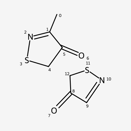 CC1=NSCC1=O.O=C1C=NSC1